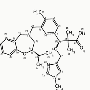 Cc1ccc([C@H](OCc2cn(C)nn2)C(C)(C)C(=O)O)cc1CN1Cc2ncccc2O[C@H](C(C)C)C1